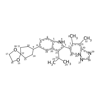 Cc1c(-c2[nH]c3ccc(C4CCC5(CC4)OCCO5)cc3c2C(C)C)cn2ncnc2c1C